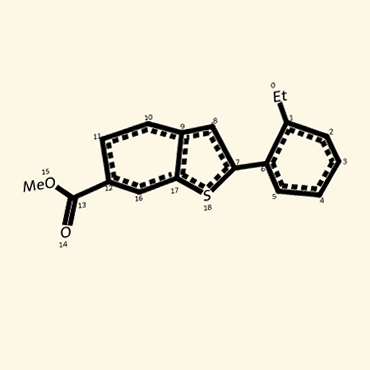 CCc1ccccc1-c1[c]c2ccc(C(=O)OC)cc2s1